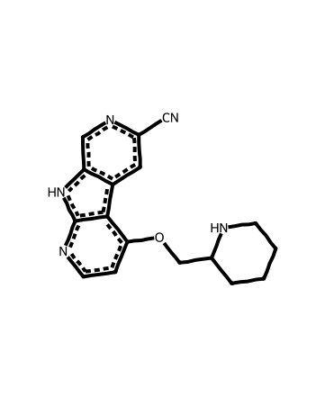 N#Cc1cc2c(cn1)[nH]c1nccc(OCC3CCCCN3)c12